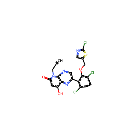 C#CCn1c(=O)cc(O)c2nc(-c3c(Cl)ccc(Cl)c3OCc3cnc(Cl)s3)cnc21